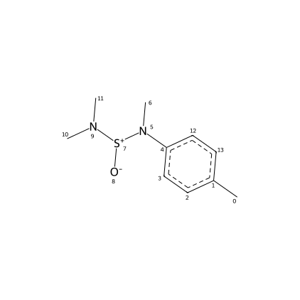 Cc1ccc(N(C)[S+]([O-])N(C)C)cc1